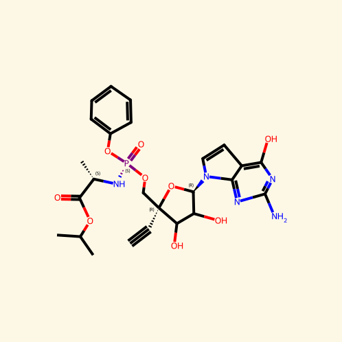 C#C[C@]1(CO[P@@](=O)(N[C@@H](C)C(=O)OC(C)C)Oc2ccccc2)O[C@@H](n2ccc3c(O)nc(N)nc32)C(O)C1O